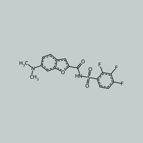 CN(C)c1ccc2cc(C(=O)NS(=O)(=O)c3ccc(F)c(F)c3F)oc2c1